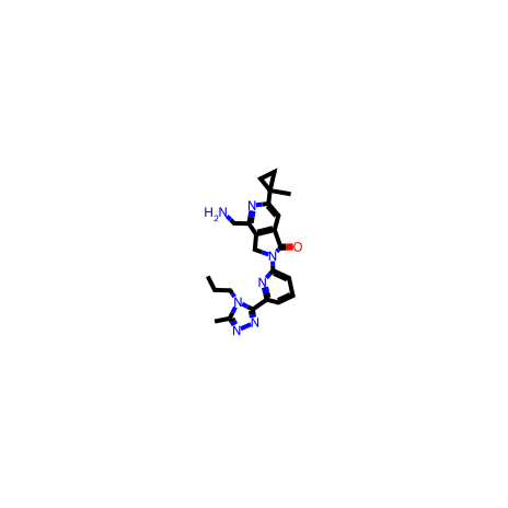 CCCn1c(C)nnc1-c1cccc(N2Cc3c(cc(C4(C)CC4)nc3CN)C2=O)n1